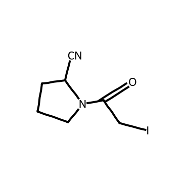 N#CC1CCCN1C(=O)CI